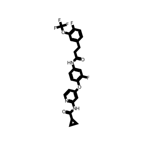 O=C(CCc1ccc(F)c(OC(F)(F)F)c1)Nc1ccc(Oc2ccnc(NC(=O)C3CC3)c2)c(F)c1